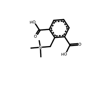 C[Si](C)(C)Cc1c(C(=O)O)cccc1C(=O)O